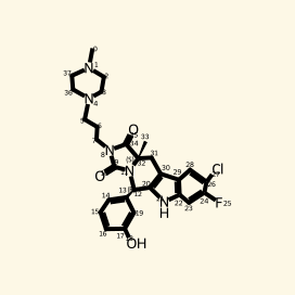 CN1CCN(CCCN2C(=O)N3[C@H](c4cccc(O)c4)c4[nH]c5cc(F)c(Cl)cc5c4C[C@@]3(C)C2=O)CC1